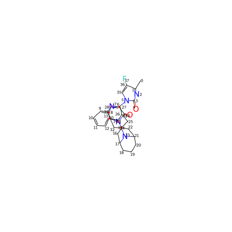 Cc1nc(=O)n(-c2nc3ccccc3n(C3CC4CCCC(C3)N4C3CC4CCCC(C4)C3)c2=O)cc1F